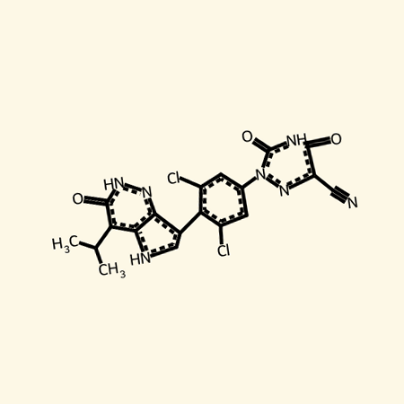 CC(C)c1c(=O)[nH]nc2c(-c3c(Cl)cc(-n4nc(C#N)c(=O)[nH]c4=O)cc3Cl)c[nH]c12